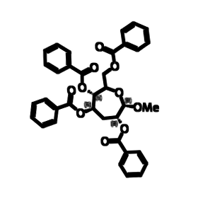 CO[C@@H]1OC(COC(=O)c2ccccc2)[C@@H](OC(=O)c2ccccc2)[C@H](OC(=O)c2ccccc2)C[C@H]1OC(=O)c1ccccc1